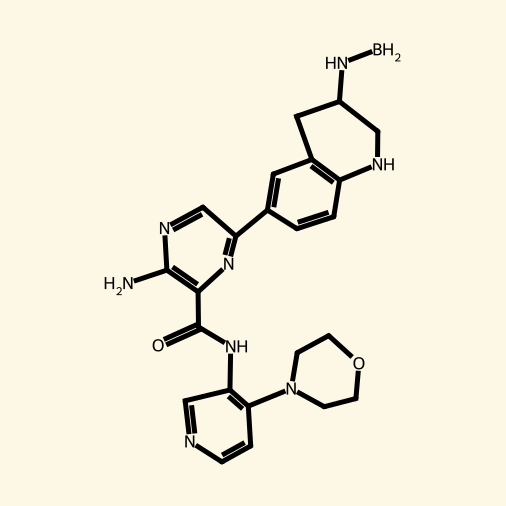 BNC1CNc2ccc(-c3cnc(N)c(C(=O)Nc4cnccc4N4CCOCC4)n3)cc2C1